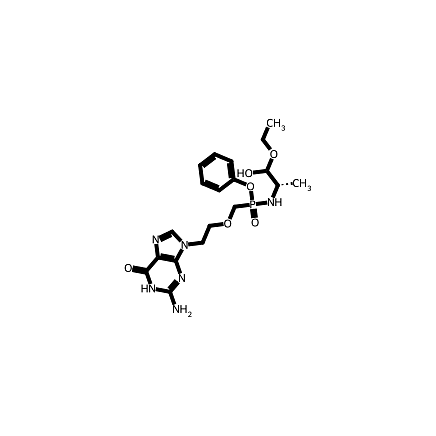 CCOC(O)[C@H](C)NP(=O)(COCCn1cnc2c(=O)[nH]c(N)nc21)Oc1ccccc1